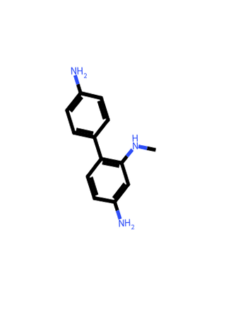 CNc1cc(N)ccc1-c1ccc(N)cc1